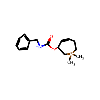 CS1(C)CCC=C[C@H](OC(=O)NCc2ccccc2)C1